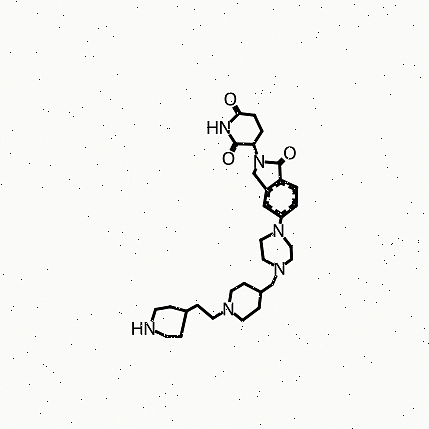 O=C1CCC(N2Cc3cc(N4CCN(CC5CCN(CCC6CCNCC6)CC5)CC4)ccc3C2=O)C(=O)N1